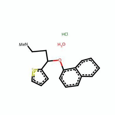 CNCCC(Oc1cccc2ccccc12)c1cccs1.Cl.O